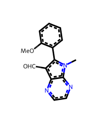 COc1ccccc1-c1c(C=O)c2nccnc2n1C